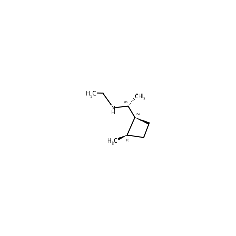 CCN[C@H](C)[C@H]1CC[C@H]1C